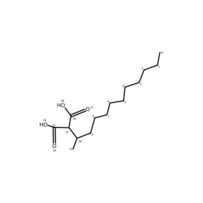 CCCCCCCCCCC(C)C(C(=O)O)C(=O)O